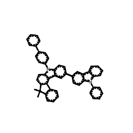 CC1(C)c2ccccc2-c2c1ccc1c2c2cc(-c3ccc4c(c3)c3ccccc3n4-c3ccccc3)ccc2n1-c1ccc(-c2ccccc2)cc1